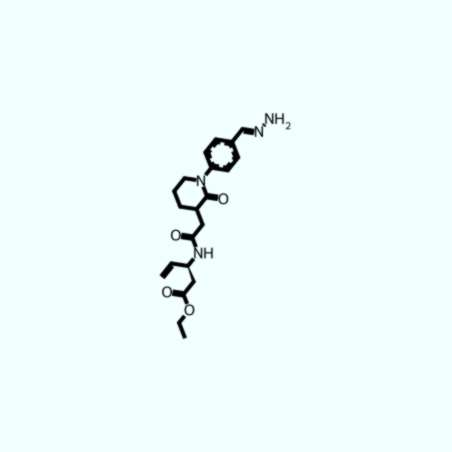 C=C[C@H](CC(=O)OCC)NC(=O)CC1CCCN(c2ccc(C=NN)cc2)C1=O